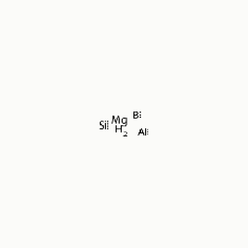 [Al].[B].[MgH2].[Si]